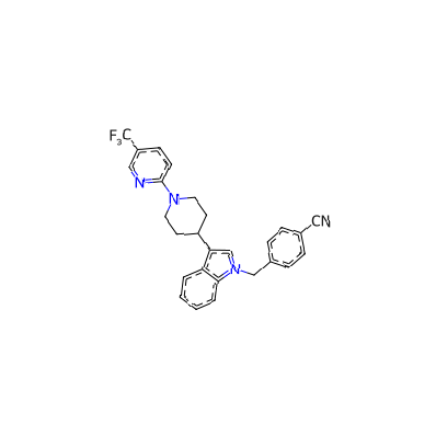 N#Cc1ccc(Cn2cc(C3CCN(c4ccc(C(F)(F)F)cn4)CC3)c3ccccc32)cc1